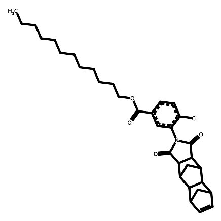 CCCCCCCCCCCCOC(=O)c1ccc(Cl)c(N2C(=O)C3C4CC(C3C2=O)C2C3C=CC(C3)C42)c1